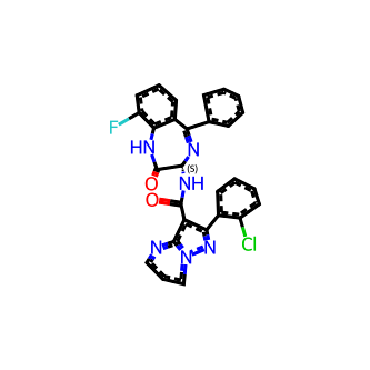 O=C(N[C@H]1N=C(c2ccccc2)c2cccc(F)c2NC1=O)c1c(-c2ccccc2Cl)nn2cccnc12